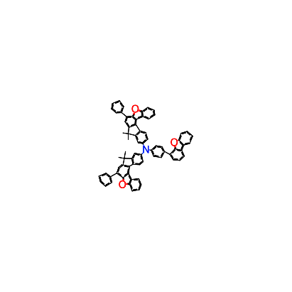 CC1(C)c2cc(N(c3ccc(-c4cccc5c4oc4ccccc45)cc3)c3ccc4c(c3)C(C)(C)c3cc(-c5ccccc5)c5oc6ccccc6c5c3-4)ccc2-c2c1cc(-c1ccccc1)c1oc3ccccc3c21